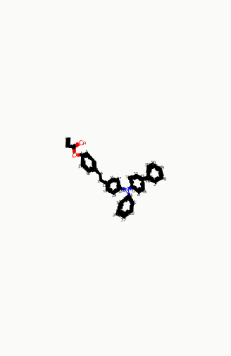 C=CC(=O)Oc1ccc(CCc2ccc(N(c3ccccc3)c3ccc(-c4ccccc4)cc3)cc2)cc1